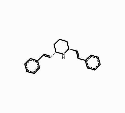 C(=C\[C@@H]1CCC[C@@H](/C=C/c2ccccc2)N1)/c1ccccc1